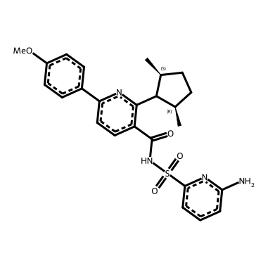 COc1ccc(-c2ccc(C(=O)NS(=O)(=O)c3cccc(N)n3)c(C3[C@H](C)CC[C@@H]3C)n2)cc1